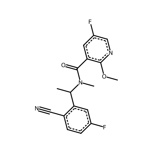 COc1ncc(F)cc1C(=O)N(C)C(C)c1cc(F)ccc1C#N